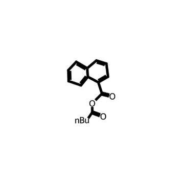 CCCCC(=O)OC(=O)c1cccc2ccccc12